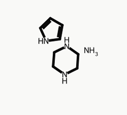 C1CNCCN1.N.c1cc[nH]c1